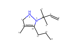 C=CC(C)(C)N1NCC(C)=C1CCC